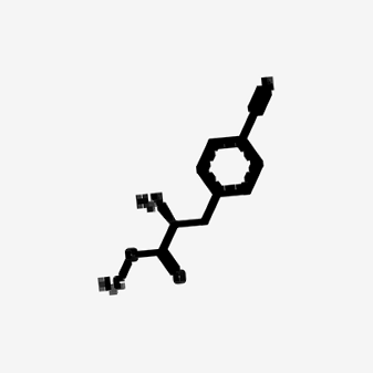 COC(=O)[C@@H](N)Cc1ccc(C#N)cc1